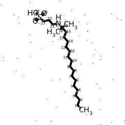 CCCCCCCCCCCCCCCCCC(C)(C)NCCCS(=O)(=O)O